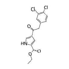 CCOC(=O)c1cc(C(=O)Cc2ccc(Cl)c(Cl)c2)c[nH]1